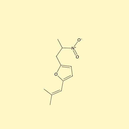 CC(C)=Cc1ccc(CC(C)[N+](=O)[O-])o1